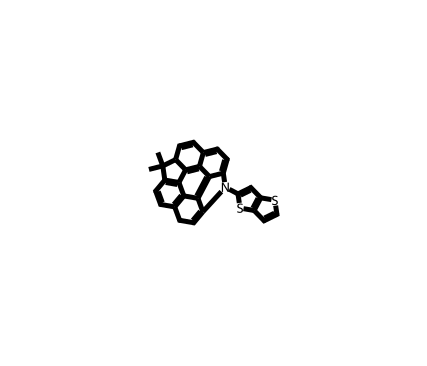 CC1(C)c2ccc3c4c2c2c5c(ccc6c5c4c(n6-c4cc5sccc5s4)=CC3)C=CC21